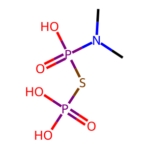 CN(C)P(=O)(O)SP(=O)(O)O